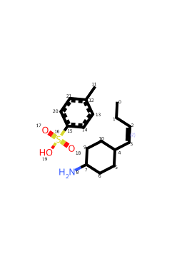 CC/C=C\C1CCC(N)CC1.Cc1ccc(S(=O)(=O)O)cc1